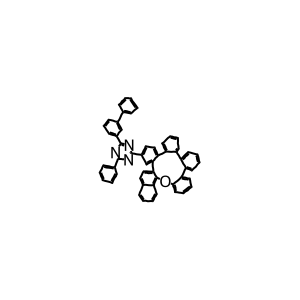 c1ccc(-c2cccc(-c3nc(-c4ccccc4)nc(-c4ccc5c(c4)-c4ccc6ccccc6c4Oc4ccccc4-c4ccccc4-c4ccccc4-5)n3)c2)cc1